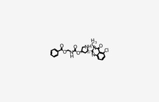 Cn1c([C@@H]2C[C@@H](OC(=O)NCOC(=O)c3ccccc3)CN2)nc2cccc(Cl)c2c1=O